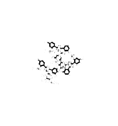 CCCCNC(=O)[C@H](CC)Nc1nc2c(Br)cccc2c2nc(-c3ccc(Cl)cc3OC(F)(F)F)nn12.CCCNC(=O)[C@@H](CCN(c1nc2c(Br)cccc2c2nc(-c3ccc(Cl)cc3OC(F)(F)F)nn12)[C@@H](C)C(=O)NCCC)Nc1nc2c(Br)cccc2c2nc(-c3ccc(Cl)cc3OC(F)(F)F)nn12